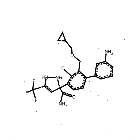 NC(=O)C1(c2ccc(-c3cccc(N)c3)c(COCC3CC3)c2F)C=C(C(F)(F)F)NN1